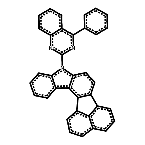 c1ccc(-c2nc(-n3c4ccccc4c4c5c(ccc43)-c3cccc4cccc-5c34)nc3ccccc23)cc1